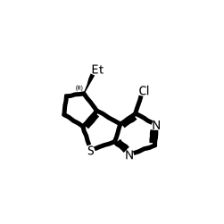 CC[C@@H]1CCc2sc3ncnc(Cl)c3c21